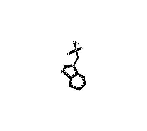 CS(=O)(=O)Cn1cnc2ccccc21